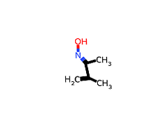 C=C(C)C(C)=NO